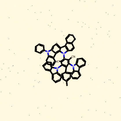 Cc1ccc(-c2c(-n3c4ccccc4c4ccccc43)c(C#N)c(-n3c4ccc5c(c4c4ccc6c(c7c(n6-c6ccccc6)CCC=C7)c43)C=CCC5)c(C#N)c2-n2c3ccccc3c3ccccc32)cc1